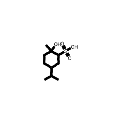 CC(C)C1CCC(C)(O)C(S(=O)(=O)O)C1